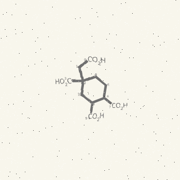 O=C(O)CC1(C(=O)O)CCC(C(=O)O)C(C(=O)O)C1